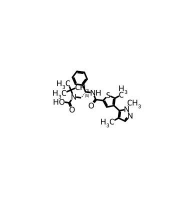 Cc1cnn(C)c1-c1cc(C(=O)N[C@H](CN(C(=O)O)C(C)(C)C)c2ccccc2)sc1C